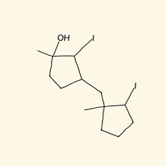 CC1(O)CCC(CC2(C)CCCC2I)C1I